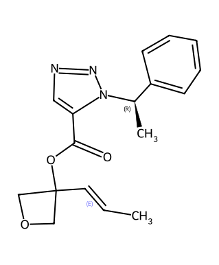 C/C=C/C1(OC(=O)c2cnnn2[C@H](C)c2ccccc2)COC1